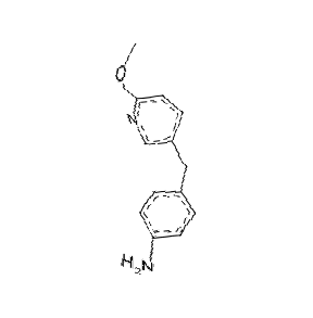 COc1ccc(Cc2ccc(N)cc2)cn1